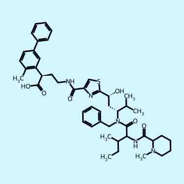 CCC(C)C(NC(=O)C1CCCCN1C)C(=O)N(Cc1ccccc1)[C@H](C[C@@H](O)c1nc(C(=O)NCC[C@@H](C(=O)O)c2cc(-c3ccccc3)ccc2C)cs1)C(C)C